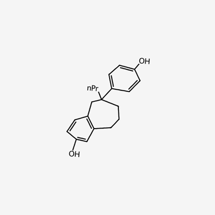 CCCC1(c2ccc(O)cc2)CCCc2cc(O)ccc2C1